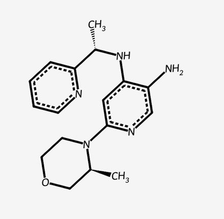 C[C@H](Nc1cc(N2CCOC[C@@H]2C)ncc1N)c1ccccn1